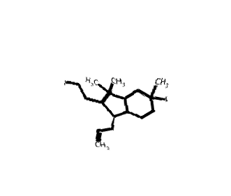 C=CC[C@@H]1C2CCC(C)(I)CC2C(C)(C)C1CCI